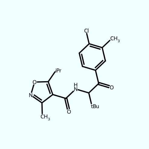 Cc1cc(C(=O)C(NC(=O)c2c(C)noc2C(C)C)C(C)(C)C)ccc1Cl